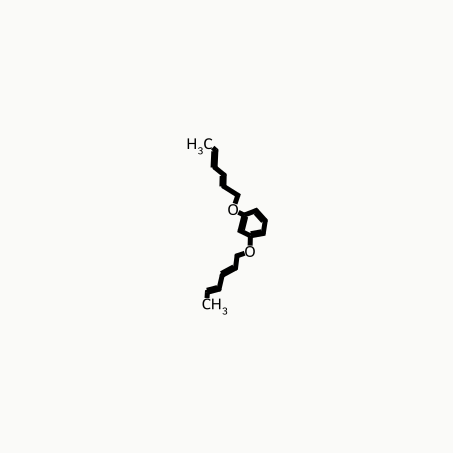 C/C=C/C=C/COc1cccc(OC/C=C/C=C/C)c1